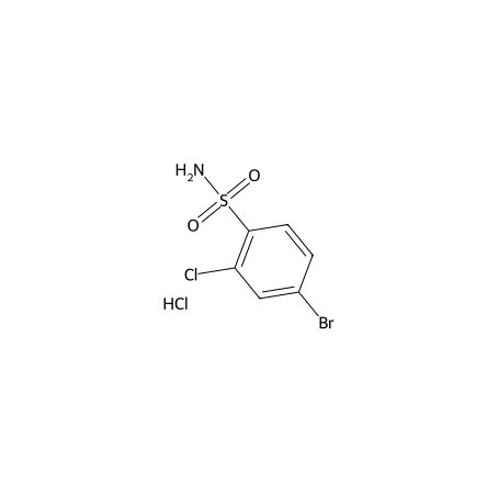 Cl.NS(=O)(=O)c1ccc(Br)cc1Cl